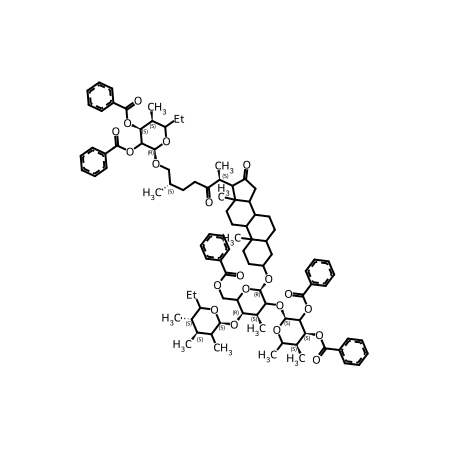 CCC1O[C@@H](O[C@H]2C(COC(=O)c3ccccc3)O[C@@H](OC3CCC4(C)C(CCC5C4CCC4(C)C5CC(=O)C4[C@H](C)C(=O)CC[C@H](C)CO[C@@H]4OC(CC)[C@H](C)[C@H](OC(=O)c5ccccc5)C4OC(=O)c4ccccc4)C3)C(O[C@@H]3OC(C)[C@H](C)[C@H](OC(=O)c4ccccc4)C3OC(=O)c3ccccc3)[C@H]2C)C(C)[C@@H](C)[C@@H]1C